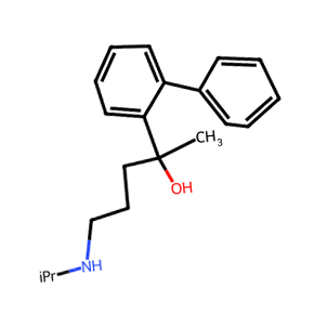 CC(C)NCCCC(C)(O)c1ccccc1-c1ccccc1